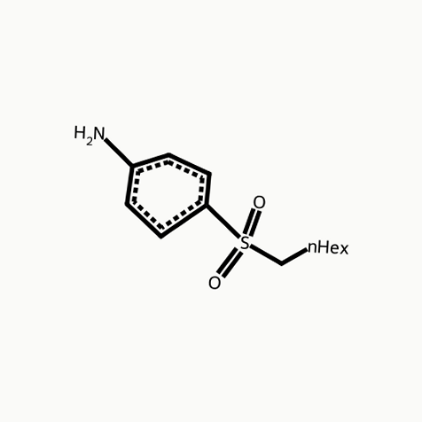 CCCCCCCS(=O)(=O)c1ccc(N)cc1